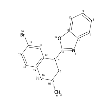 C[C@H]1CN(c2nc3ccccc3o2)c2cc(Br)ccc2N1